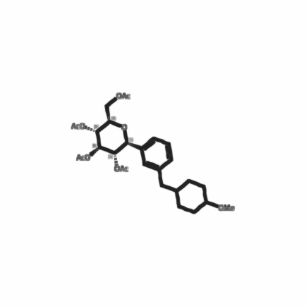 COC1CCC(Cc2cccc([C@@H]3O[C@H](COC(C)=O)[C@@H](OC(C)=O)[C@H](OC(C)=O)[C@H]3OC(C)=O)c2)CC1